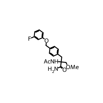 COCC(Cc1ccc(COc2cccc(F)c2)cc1)(NC(C)=O)C(N)=O